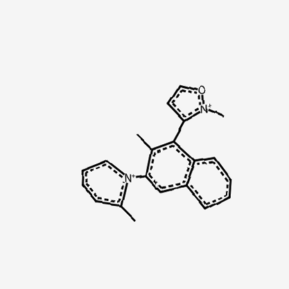 Cc1c(-[n+]2ccccc2C)cc2ccccc2c1-c1cco[n+]1C